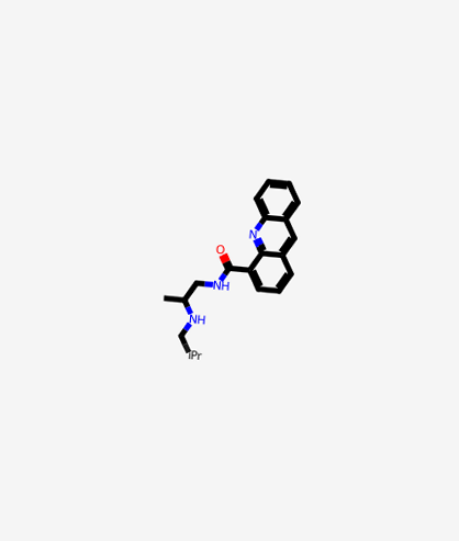 CC(C)CNC(C)CNC(=O)c1cccc2cc3ccccc3nc12